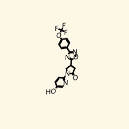 O=C1CC(c2nc(-c3ccc(OC(F)(F)F)cc3)no2)CN1c1ccc(O)cn1